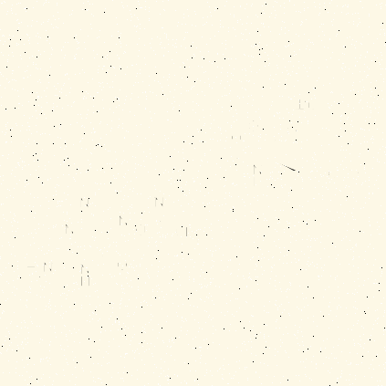 CC(C)(C)OC(=O)[C@@H](CCC=O)NC(=O)c1ccc(N(Cc2cnc3nc(N)[nH]c(=O)c3n2)C(=O)C(F)(F)F)cc1